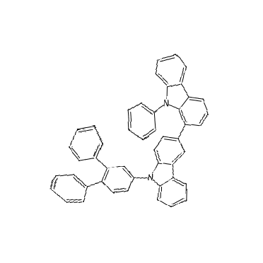 c1ccc(-c2ccc(-n3c4ccccc4c4cc(-c5cccc6c7ccccc7n(-c7ccccc7)c56)ccc43)cc2-c2ccccc2)cc1